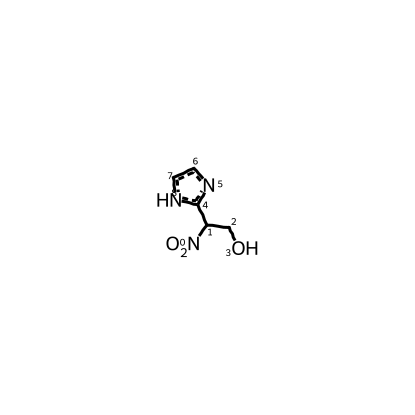 O=[N+]([O-])C(CO)c1ncc[nH]1